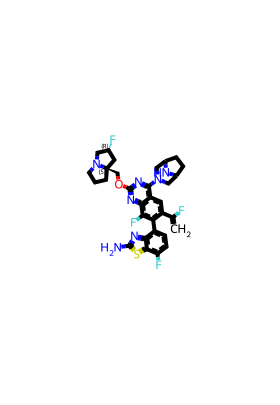 C=C(F)c1cc2c(N3CC4CCC(C3)N4)nc(OC[C@@]34CCCN3C[C@H](F)C4)nc2c(F)c1-c1ccc(F)c2sc(N)nc12